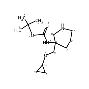 CC(C)(C)OC(=O)NC1(COC2CC2)CCCNC1